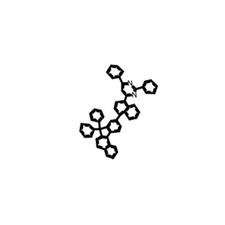 c1ccc(-c2cc(-c3ccc(-c4ccc5c(c4)C(c4ccccc4)(c4ccccc4)c4ccc6ccccc6c4-5)c4ccccc34)nc(-c3ccccc3)n2)cc1